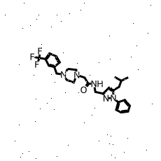 CC(C)Cc1cc(CNC(=O)CN2CCN(Cc3cccc(C(F)(F)F)c3)CC2)nn1-c1ccccc1